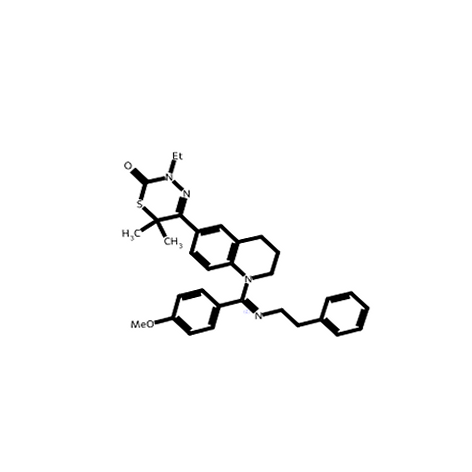 CCN1N=C(c2ccc3c(c2)CCCN3/C(=N\CCc2ccccc2)c2ccc(OC)cc2)C(C)(C)SC1=O